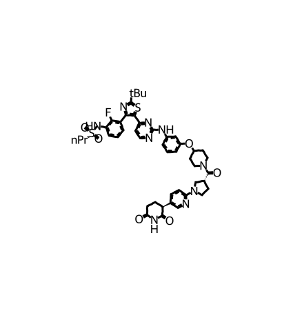 CCCS(=O)(=O)Nc1cccc(-c2nc(C(C)(C)C)sc2-c2ccnc(Nc3cccc(OC4CCN(C(=O)[C@@H]5CCN(c6ccc([C@@H]7CCC(=O)NC7=O)cn6)C5)CC4)c3)n2)c1F